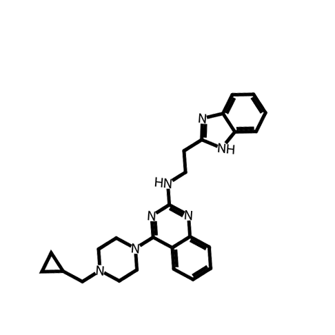 c1ccc2[nH]c(CCNc3nc(N4CCN(CC5CC5)CC4)c4ccccc4n3)nc2c1